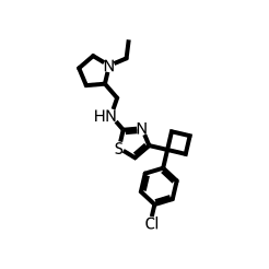 CCN1CCCC1CNc1nc(C2(c3ccc(Cl)cc3)CCC2)cs1